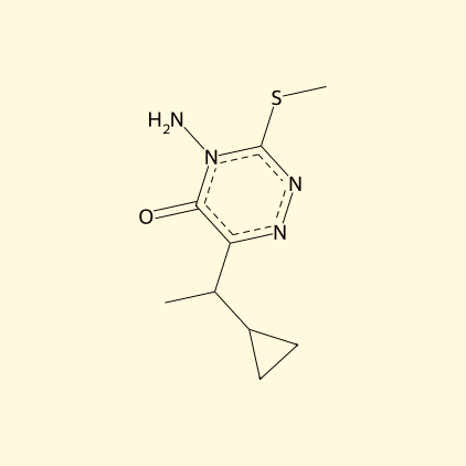 CSc1nnc(C(C)C2CC2)c(=O)n1N